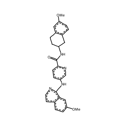 COc1ccc2c(c1)CCC(NC(=O)c1ccc(Nc3nccc4ccc(OC)cc34)cn1)C2